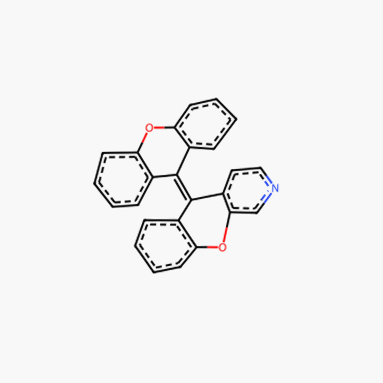 c1ccc2c(c1)Oc1ccccc1C2=C1c2ccccc2Oc2cnccc21